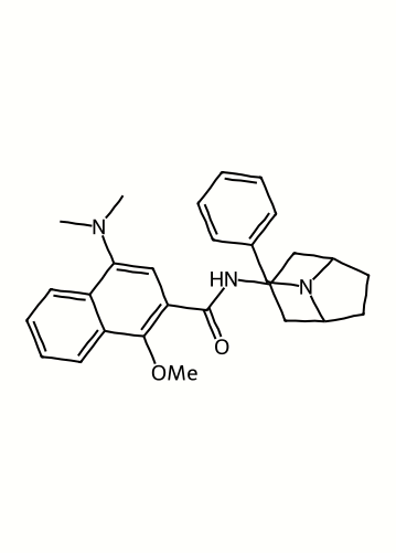 COc1c(C(=O)NC2CC3CCC(C2)N3Cc2ccccc2)cc(N(C)C)c2ccccc12